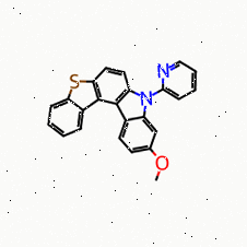 COc1ccc2c3c4c(ccc3n(-c3ccccn3)c2c1)sc1ccccc14